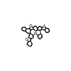 c1ccc(N(c2ccc3oc4ccccc4c3c2)c2cccc3oc4c5ccccc5ccc4c23)c(-c2cccc3sc4ccccc4c23)c1